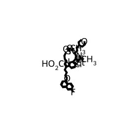 CCc1c2c(nn1C)C(CCC1CCOCC1)N(C)S(=O)(=O)CCCn1c(C(=O)O)c(CCCOc3cccc4cc(F)ccc34)c3ccc(Cl)c-2c31